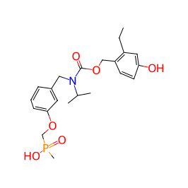 CCc1cc(O)ccc1COC(=O)N(Cc1cccc(OCP(C)(=O)O)c1)C(C)C